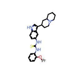 CC(C)Oc1ccccc1NC(=S)Nc1ccc2[nH]cc(C3CCN4CCCCC4C3)c2c1